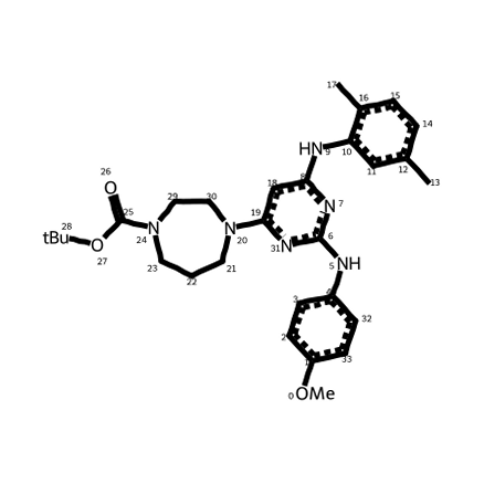 COc1ccc(Nc2nc(Nc3cc(C)ccc3C)cc(N3CCCN(C(=O)OC(C)(C)C)CC3)n2)cc1